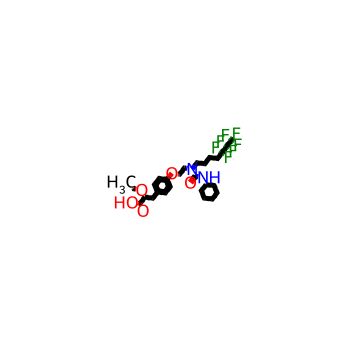 CCOC(Cc1ccc(OCCN(CCCCC(F)(F)C(F)(F)C(F)(F)F)C(=O)NC2CCCCC2)cc1)C(=O)O